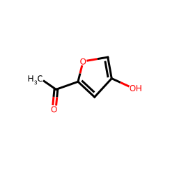 CC(=O)c1cc(O)co1